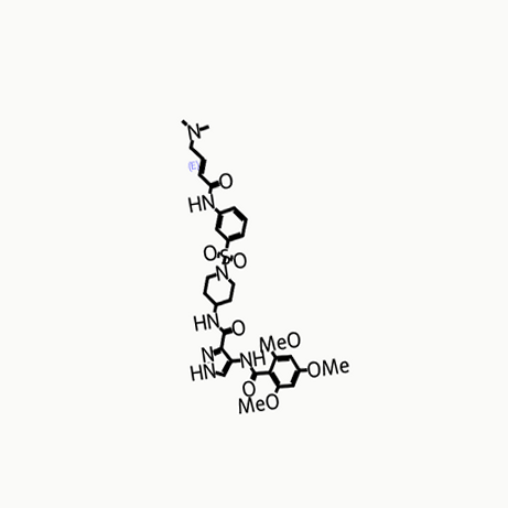 COc1cc(OC)c(C(=O)Nc2c[nH]nc2C(=O)NC2CCN(S(=O)(=O)c3cccc(NC(=O)/C=C/CN(C)C)c3)CC2)c(OC)c1